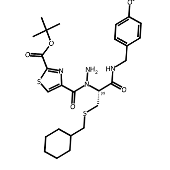 COc1ccc(CNC(=O)[C@H](CSCC2CCCCC2)N(N)C(=O)c2csc(C(=O)OC(C)(C)C)n2)cc1